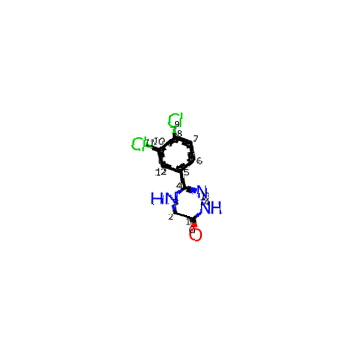 O=C1CNC(c2ccc(Cl)c(Cl)c2)=NN1